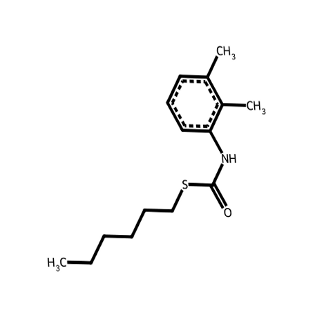 CCCCCCSC(=O)Nc1cccc(C)c1C